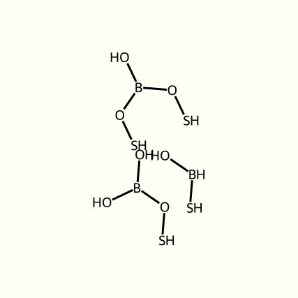 OB(O)OS.OB(OS)OS.OBS